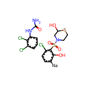 NC(=O)Nc1cccc(Cl)c1Cl.O=S(=O)(c1c(Cl)cc[c]([Na])c1O)N1CCSC(O)C1